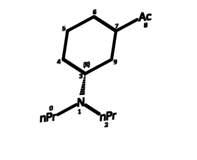 CCCN(CCC)[C@@H]1CCCC(C(C)=O)C1